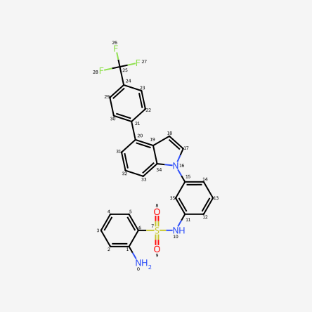 Nc1ccccc1S(=O)(=O)Nc1cccc(-n2ccc3c(-c4ccc(C(F)(F)F)cc4)cccc32)c1